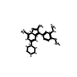 COc1ccc(-c2c(C)nn3c(N)nc(N4CCOCC4)nc23)cc1OC